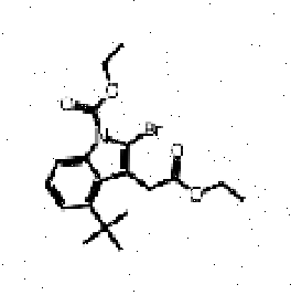 CCOC(=O)Cc1c(Br)n(C(=O)OCC)c2cccc(C(C)(C)C)c12